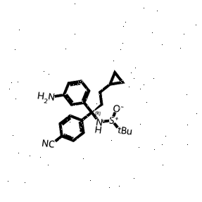 CC(C)(C)[S+]([O-])N[C@](CCC1CC1)(c1ccc(C#N)cc1)c1cccc(N)c1